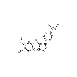 C/C=C(\C)c1ccc(N2CCN(Cc3ccc(CC)c(F)c3)C2=O)cc1